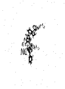 CCc1nc2sc(N3CCC4C3CCN4C(N)=O)nn2c1N(C)c1nc(-c2ccc(F)cc2)c(C#N)s1